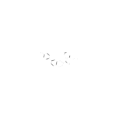 CC(C)(C)OC(=O)N(OC(=O)C(F)(F)F)C(=N)N1CCc2ccc(-c3ccc(C(C)(C)C)cc3)cc2C1